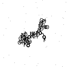 CC1COCCN1CC1CN(C(=O)OC(C)(C)C)C(C)CN1CC(=O)N1CC(C)(C(=O)NCC(=O)Nc2ccc3c(c2)C(C(=O)Nc2c(F)cccc2F)N(C(=O)C(NC(=O)C(C)N(C)C(=O)OC(C)(C)C)C2CCOCC2)C3)c2ccc(Cc3ccc(F)cc3)cc21